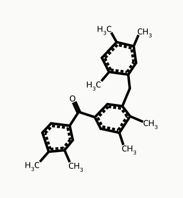 Cc1ccc(C(=O)c2cc(C)c(C)c(Cc3cc(C)c(C)cc3C)c2)cc1C